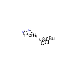 CCCCC/C=C\C/C=C\CCCCCCCC(=O)OC(Cl)CCCC